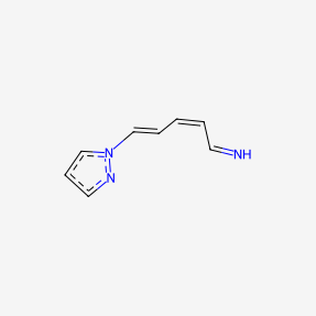 N=C/C=C\C=C\n1cccn1